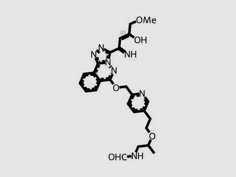 COC/C(O)=C/C(=N)c1nnc2c3ccccc3c(OCc3ccc(CCOC(C)CNC=O)cn3)nn12